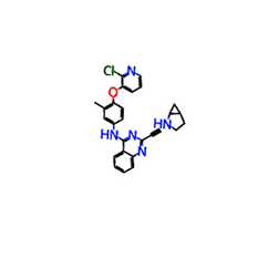 C#Cc1nc(Nc2ccc(Oc3cccnc3Cl)c(C)c2)c2ccccc2n1.C1CC2CC2N1